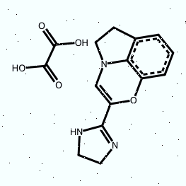 C1=C(C2=NCCN2)Oc2cccc3c2N1CC3.O=C(O)C(=O)O